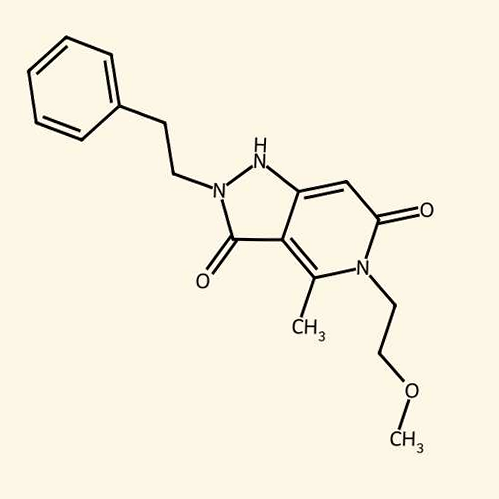 COCCn1c(C)c2c(=O)n(CCc3ccccc3)[nH]c2cc1=O